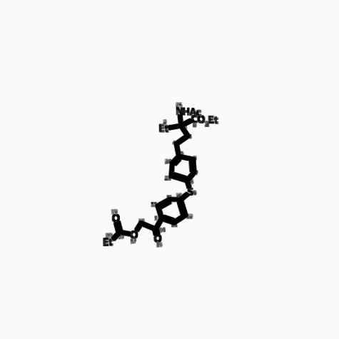 CCOC(=O)C(CC)(CCc1ccc(Sc2ccc(C(=O)COC(=O)CC)cc2)cc1)NC(C)=O